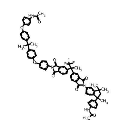 CC(=O)Nc1ccc(Oc2ccc(C(C)(C)c3ccc(Oc4ccc(N5C(=O)c6ccc(C(C)(c7ccc8c(c7)C(=O)N(c7ccc9c(c7)C(C)(C)CC9(C)c7ccc(NC(C)=O)cc7)C8=O)C(F)(F)F)cc6C5=O)cc4)cc3)cc2)cc1